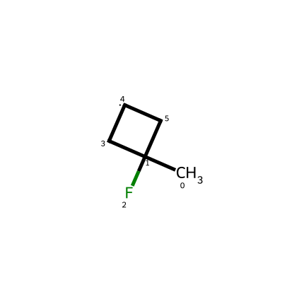 CC1(F)C[CH]C1